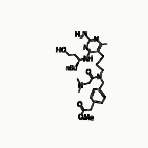 CCCC[C@@H](CCO)Nc1nc(N)nc(C)c1CCCN(Cc1ccc(CC(=O)OC)cc1)C(=O)CN(C)C